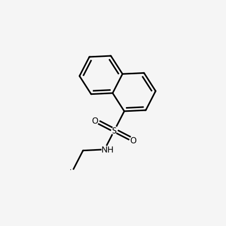 [CH2]CNS(=O)(=O)c1cccc2ccccc12